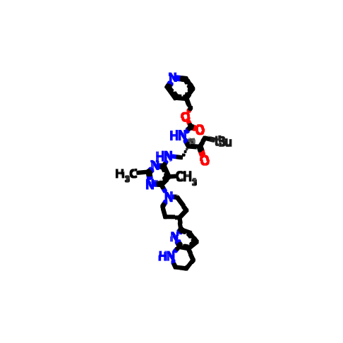 Cc1nc(NC[C@H](NC(=O)OCc2ccncc2)C(=O)CC(C)(C)C)c(C)c(N2CCC(c3ccc4c(n3)NCCC4)CC2)n1